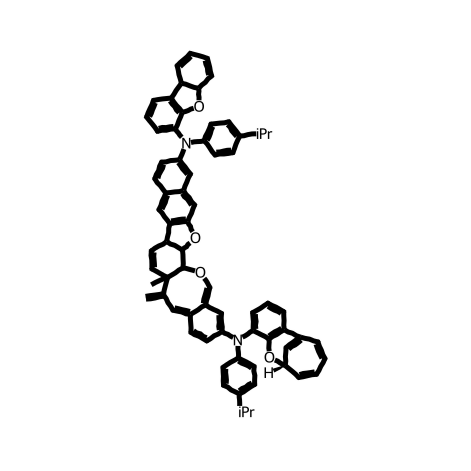 C=C1/C=c2/ccc(N(c3ccc(C(C)C)cc3)c3cccc4c3O[C@H]3C=CC=CC4=C3)c/c2=C/OC2C3Oc4cc5cc(N(c6ccc(C(C)C)cc6)c6cccc7c6OC6C=CC=CC76)ccc5cc4C3C=CC12C